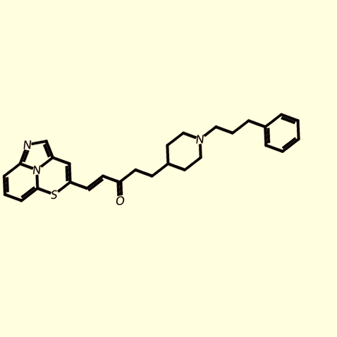 O=C(/C=C/C1=Cc2cnc3cccc(n23)S1)CCC1CCN(CCCc2ccccc2)CC1